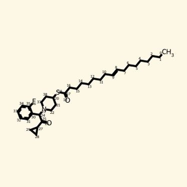 CCCCCCCCC=CCCCCCCCC(=O)SC1CCN(C(C(=O)C2CC2)c2ccccc2F)CC1